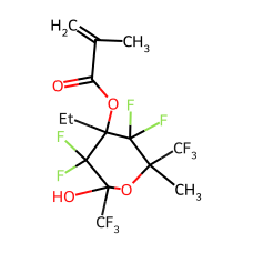 C=C(C)C(=O)OC1(CC)C(F)(F)C(C)(C(F)(F)F)OC(O)(C(F)(F)F)C1(F)F